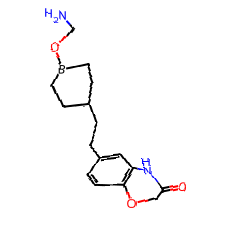 NCOB1CCC(CCc2ccc3c(c2)NC(=O)CO3)CC1